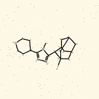 Cn1c(C2CCOCC2)nnc1C1C2CC3CC(C2)CC1(I)C3